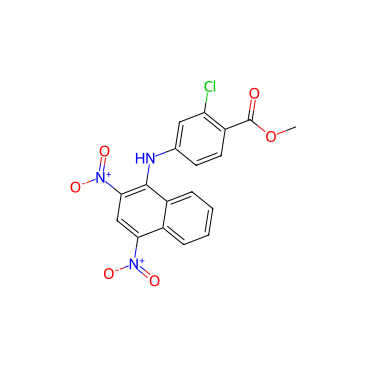 COC(=O)c1ccc(Nc2c([N+](=O)[O-])cc([N+](=O)[O-])c3ccccc23)cc1Cl